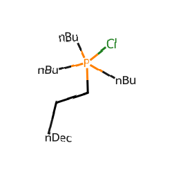 CCCCCCCCCCCCP(Cl)(CCCC)(CCCC)CCCC